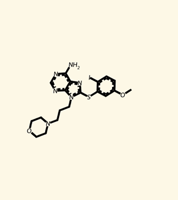 COc1ccc(I)c(Sc2nc3c(N)ncnc3n2CCCN2CCOCC2)c1